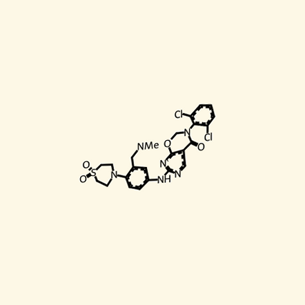 CNCc1cc(Nc2ncc3c(n2)OCN(c2c(Cl)cccc2Cl)C3=O)ccc1N1CCS(=O)(=O)CC1